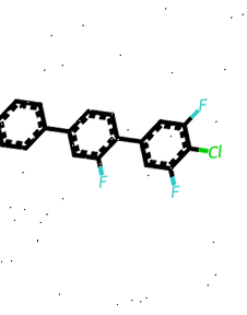 Fc1cc(-c2ccccc2)ccc1-c1cc(F)c(Cl)c(F)c1